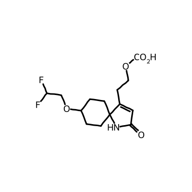 O=C1C=C(CCOC(=O)O)C2(CCC(OCC(F)F)CC2)N1